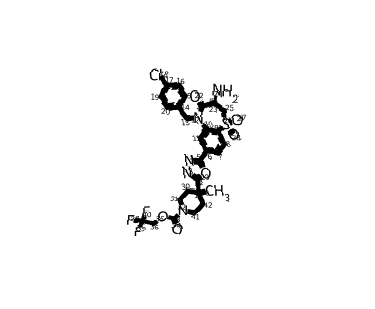 CC1(c2nnc(-c3ccc4c(c3)N(Cc3ccc(Cl)cc3)C(=O)[C@@H](N)CS4(=O)=O)o2)CCN(C(=O)OCC(F)(F)F)CC1